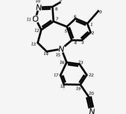 Cc1ccc2c(c1)-c1c(C)noc1CCN2c1ccc(C#N)cc1